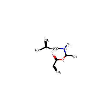 C=C(C)C(=O)O.C=CC(=O)OC(C)N(C)C